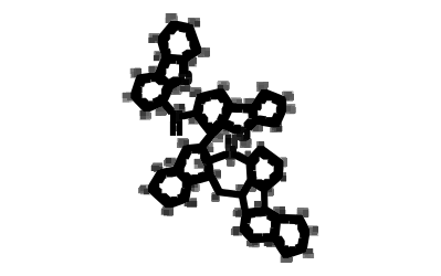 B1c2cccc3c2C(Cc2c1c(-c1c(Nc4cccc5c4oc4ccccc45)ccc4c1oc1ccccc14)cc1ccccc21)c1ccc2ccccc2c1-3